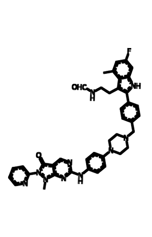 Cc1cc(F)cc2[nH]c(-c3ccc(CN4CCN(c5ccc(Nc6ncc7c(=O)n(-c8ccccn8)n(C)c7n6)cc5)CC4)cc3)c(CCNC=O)c12